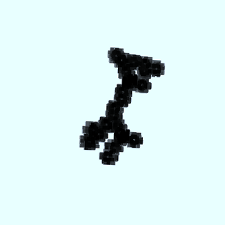 c1ccc(-c2ccc(-c3cc(-c4ccccc4)nc(-c4ccc(-c5cc6cc(-c7ccc8cc(-c9cc(-c%10ccccc%10)nc(-c%10ccc(-c%11cc%12ccccc%12cc%11-c%11ccc(-c%12ccc%13c%14c(cccc%12%14)-c%12ccccc%12-%13)cc%11)cc%10)n9)ccc8c7)ccc6cc5-c5ccc(-c6ccc7c8c(cccc68)-c6ccccc6-7)cc5)cc4)n3)cc2)cc1